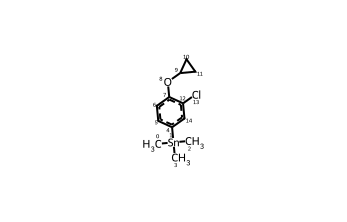 [CH3][Sn]([CH3])([CH3])[c]1ccc(OC2CC2)c(Cl)c1